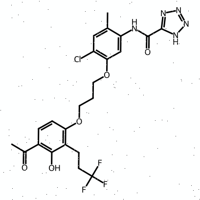 CC(=O)c1ccc(OCCCOc2cc(NC(=O)c3nnn[nH]3)c(C)cc2Cl)c(CCC(F)(F)F)c1O